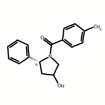 Cc1ccc(C(=O)N2CC(O)C[C@@H]2c2ccccc2)cc1